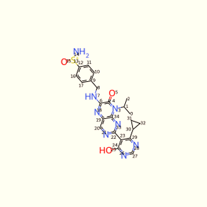 CC(C)n1c(=O)c(NCc2ccc([S+](N)[O-])cc2)nc2cnc(-c3c(O)ncnc3C3CC3)nc21